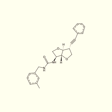 Cc1cccc(CNC(=O)N[C@H]2CO[C@@H]3[C@@H]2OC[C@H]3C#Cc2ccccc2)c1